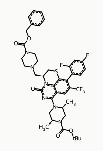 C[C@H]1CN(c2nc(=O)n3c4c(c(-c5ccc(F)cc5F)c(C(F)(F)F)cc24)SC[C@@H]3CN2CCN(C(=O)OCc3ccccc3)CC2)[C@@H](C)CN1C(=O)OC(C)(C)C